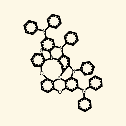 c1ccc(N(c2ccccc2)c2cc3c4c(c2)N(c2ccccc2)c2cc5c6cc2B4c2c(cccc2O3)Oc2cccc3c2B6c2c(cc(N(c4ccccc4)c4ccccc4)cc2N5c2ccccc2)O3)cc1